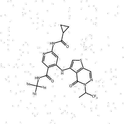 [2H]C([2H])([2H])NC(=O)c1cnc(NC(=O)C2CC2)cc1Nc1csc2cnn(C(C)C(F)(F)F)c(=O)c12